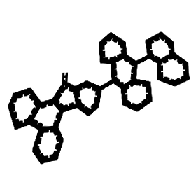 c1ccc2c(-c3c4ccccc4c(-c4ccc5c(c4)[nH]c4c6ccccc6c6ccccc6c54)c4ccccc34)cccc2c1